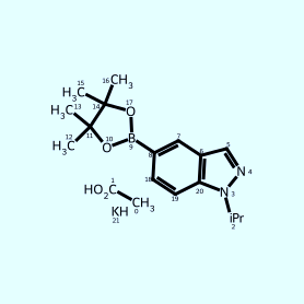 CC(=O)O.CC(C)n1ncc2cc(B3OC(C)(C)C(C)(C)O3)ccc21.[KH]